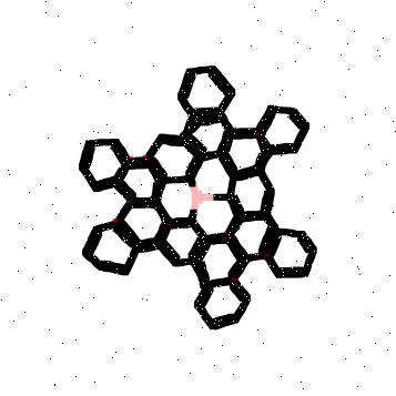 c1ccc(-c2cc(-c3ccccc3)c(-c3ccccc3)c(B(c3c(-c4ccccc4)c(-c4ccccc4)cc(-c4ccccc4)c3-c3ccccc3)c3c(-c4ccccc4)c(-c4ccccc4)cc(-c4ccccc4)c3-c3ccccc3)c2-c2ccccc2)cc1